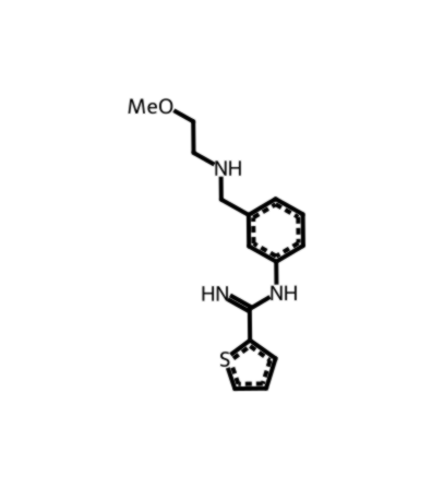 COCCNCc1cccc(NC(=N)c2cccs2)c1